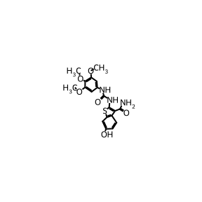 COc1cc(NC(=O)Nc2sc3cc(O)ccc3c2C(N)=O)cc(OC)c1OC